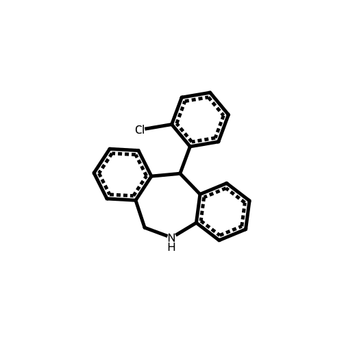 Clc1ccccc1C1c2ccccc2CNc2ccccc21